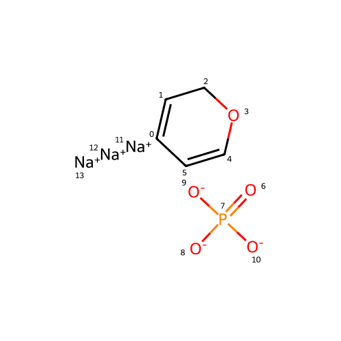 C1=CCOC=C1.O=P([O-])([O-])[O-].[Na+].[Na+].[Na+]